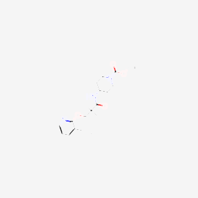 C[C@@H]1CN(C(=O)OC(C)(C)C)CC[C@H]1NC(=O)C(C)(C)COc1ncccc1C(F)(F)F